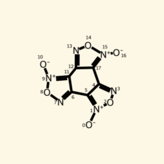 [O-][n+]1onc2c1c1no[n+]([O-])c1c1no[n+]([O-])c21